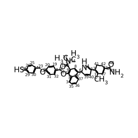 CC1=C(C2=CNC(c3cc(C(=O)N(C)C)c(OCc4ccc(OCc5ccc(S)cc5)cc4)c4ccccc34)C=C2)CCC(C(N)=O)=C1